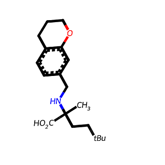 CC(C)(C)CCC(C)(NCc1ccc2c(c1)OCCC2)C(=O)O